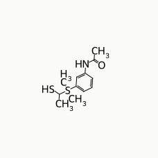 CC(=O)Nc1cccc(S(C)(C)C(C)S)c1